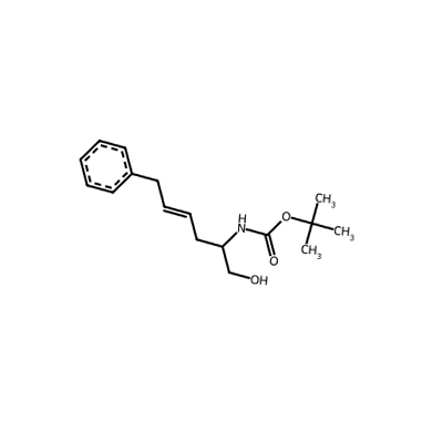 CC(C)(C)OC(=O)NC(CO)CC=CCc1ccccc1